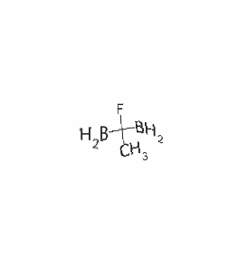 BC(B)(C)F